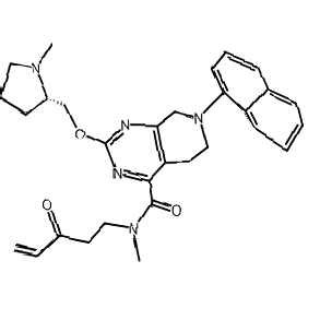 C=CC(=O)CCN(C)C(=O)c1nc(OC[C@@H]2CCCN2C)nc2c1CCN(c1cccc3ccccc13)C2